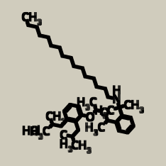 CCCCCCCCCCCCCCCCNC(C)(C)c1ccccc1C(C)OC(C)Oc1cccc(CC(C)C)c1CC(C)C.Cl